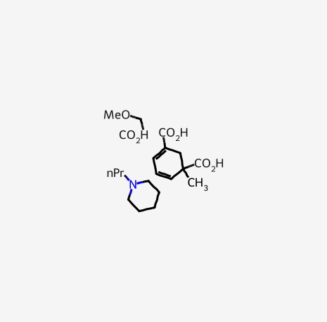 CC1(C(=O)O)C=CC=C(C(=O)O)C1.CCCN1CCCCC1.COCC(=O)O